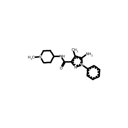 Cc1c(C(=O)NC2CCN(C)CC2)nn(-c2ccccc2)c1N